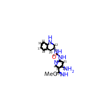 COC(=N)c1cnc(NC(=O)NC2CNc3ccccc3C2)cc1N